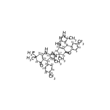 Cc1[nH]nc2c1C(c1cccc(C(F)(F)F)c1)C1=C(CC(C)(n3nc4c(c3C)C(c3ccc(C(F)(F)F)cc3)C3=C(CC(C)(C)CC3=O)N4)CC1=O)N2